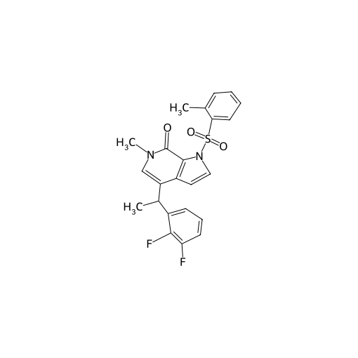 Cc1ccccc1S(=O)(=O)n1ccc2c(C(C)c3cccc(F)c3F)cn(C)c(=O)c21